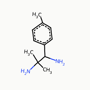 Cc1ccc(C(N)C(C)(C)N)cc1